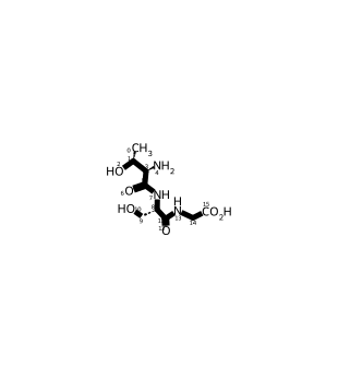 C[C@@H](O)[C@H](N)C(=O)N[C@@H](CO)C(=O)NCC(=O)O